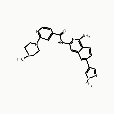 Bc1nc(NC(=O)c2ccnc(N3CCN(C)CC3)c2)cc2cc(-c3cnn(C)c3)ccc12